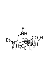 CC(=O)O.CC(=O)O.CC(=O)O.CC(=O)O.CCNCCN(CC)CC